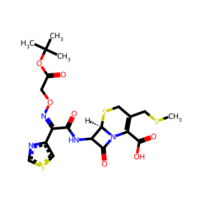 CSCC1=C(C(=O)O)N2C(=O)C(NC(=O)/C(=N\OCC(=O)OC(C)(C)C)c3cscn3)[C@H]2SC1